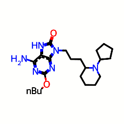 CCCCOc1nc(N)c2[nH]c(=O)n(CCCC3CCCCN3C3CCCC3)c2n1